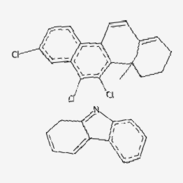 C1=CCC2=Nc3ccccc3C2=C1.CC12CCCC=C1C=Cc1c2c(Cl)c(Cl)c2cc(Cl)ccc12